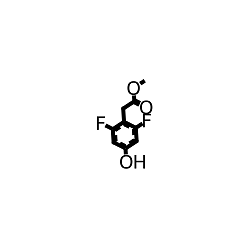 COC(=O)Cc1c(F)cc(O)cc1F